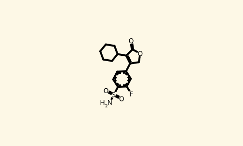 NS(=O)(=O)c1ccc(C2=C(C3CCCCC3)C(=O)OC2)cc1F